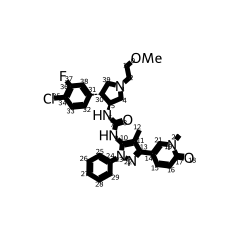 COCCN1C[C@@H](NC(=O)Nc2c(C)c(-c3ccc(=O)n(C)c3)nn2-c2ccccc2)[C@H](c2ccc(Cl)c(F)c2)C1